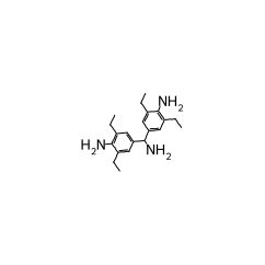 CCc1cc(C(N)c2cc(CC)c(N)c(CC)c2)cc(CC)c1N